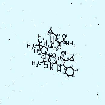 CC(C)(C)[C@H](NC(=O)N[C@H](/C(=N/O)C1CC1)C1CCCCC1)C(=O)N1C[C@H]2[C@@H]([C@H]1C(=O)NC(CC1CC1)C(=O)C(N)=O)C2(C)C